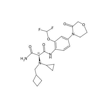 NC(=O)[C@@H](C(=O)Nc1ccc(N2CCOCC2=O)cc1OC(F)F)N(CC1CCC1)C1CC1